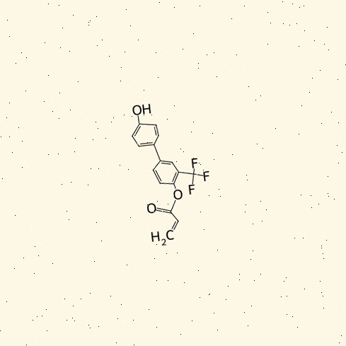 C=CC(=O)Oc1ccc(-c2ccc(O)cc2)cc1C(F)(F)F